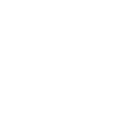 CCCCCCCC/C=C\CCCCC(CCC(=O)O)C1=CCCCC1